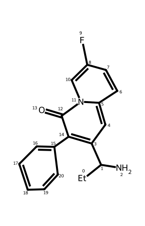 CCC(N)c1cc2ccc(F)cn2c(=O)c1-c1ccccc1